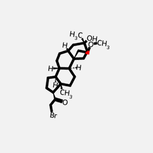 COCC[C@]12CC[C@@](C)(O)C[C@H]1CC[C@H]1[C@@H]3CC[C@H](C(=O)CBr)[C@@]3(C)CC[C@@H]12